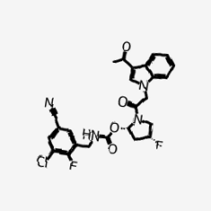 CC(=O)c1cn(CC(=O)N2C[C@H](F)C[C@@H]2OC(=O)NCc2cc(C#N)cc(Cl)c2F)c2ccccc12